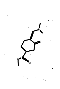 COC(=O)C1CCC(=CN(C)C)C(=O)C1